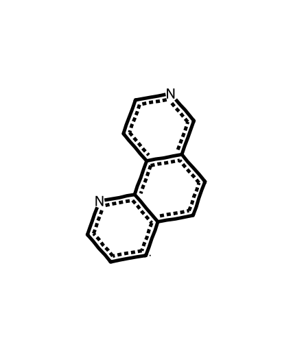 [c]1ccnc2c1ccc1cnccc12